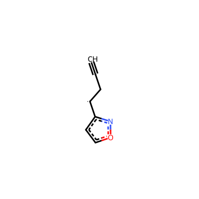 C#CC[CH]c1ccon1